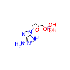 NC1=C2N=CN([C@H]3CC[C@@H](COP(O)O)O3)C2NC=N1